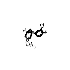 CN1C[C@@H]2C[C@]2(c2ccc(F)c(Cl)c2)C1